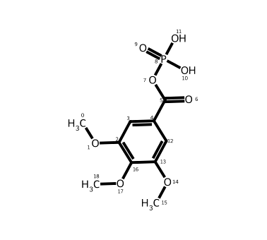 COc1cc(C(=O)OP(=O)(O)O)cc(OC)c1OC